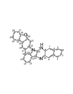 C1=c2ccccc2=CC2Nc3c(c4cccc5c6cc7c(cc6n3c45)oc3ccccc37)N=C12